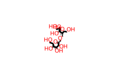 OCC1OC(O)(CO)[C@H](O)[C@@H]1COC[C@@H]1OC(CO)[C@H](O)[C@@H](O)C1O